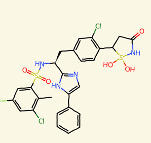 Cc1c(Cl)cc(F)cc1S(=O)(=O)N[C@@H](Cc1ccc(C2CC(=O)NS2(O)O)c(Cl)c1)c1ncc(-c2ccccc2)[nH]1